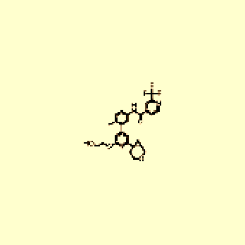 Cc1ccc(NC(=O)c2ccnc(C(F)(F)F)c2)cc1-c1cc(SCCO)nc(C23CCOCC2C3)c1